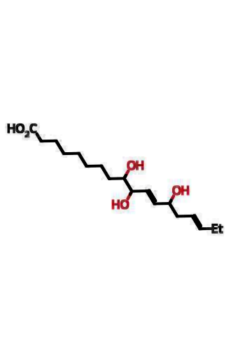 CCC=CCC(O)C=CC(O)C(O)CCCCCCCC(=O)O